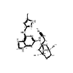 Cc1cc(Nc2nc(N[C@@H]3C[C@H]4CC[C@@H](C3)N4CCC#N)cc3[nH]cnc23)n[nH]1